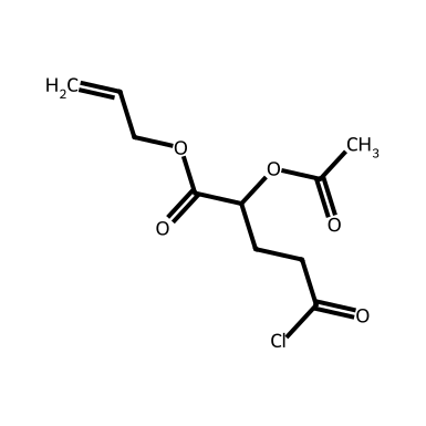 C=CCOC(=O)C(CCC(=O)Cl)OC(C)=O